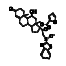 CC12CCC(=O)C=C1CCC1C2[C@@H](O)CC2(C)C1CC[C@]2(OC(=O)c1ccco1)C(=O)C[S+]([O-])c1nc2ccccc2s1